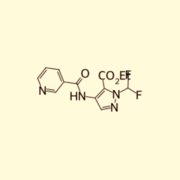 CCOC(=O)c1c(NC(=O)c2cccnc2)cnn1C(F)F